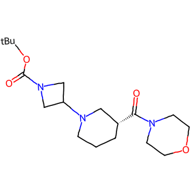 CC(C)(C)OC(=O)N1CC(N2CCC[C@@H](C(=O)N3CCOCC3)C2)C1